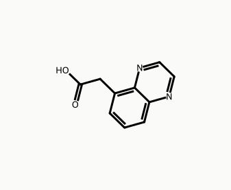 O=C(O)Cc1cccc2nccnc12